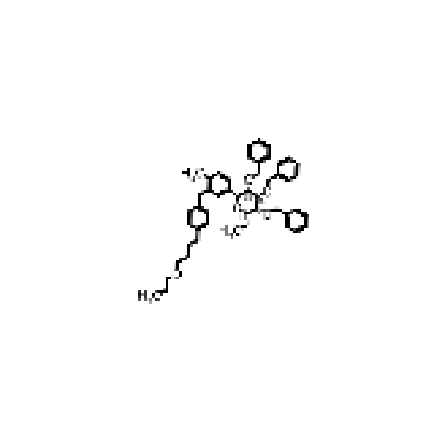 C=CCOCCCCc1ccc(Cc2cc([C@@H]3O[C@H](CC)[C@@H](OCc4ccccc4)[C@H](OCc4ccccc4)[C@H]3OCc3ccccc3)ccc2C)cc1